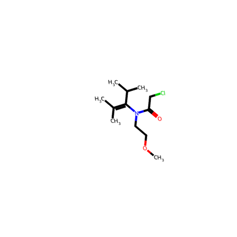 COCCN(C(=O)CCl)C(=C(C)C)C(C)C